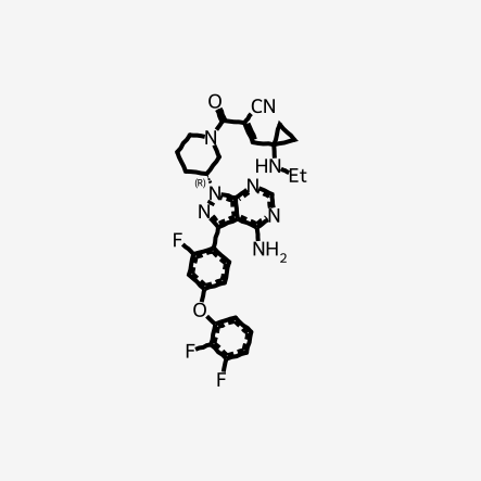 CCNC1(C=C(C#N)C(=O)N2CCC[C@@H](n3nc(-c4ccc(Oc5cccc(F)c5F)cc4F)c4c(N)ncnc43)C2)CC1